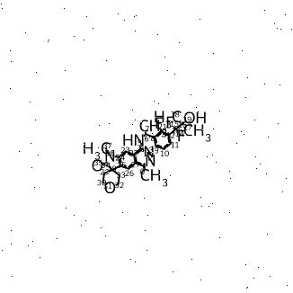 Cc1nnc(NC(C)c2cccc(C(F)(F)C(C)(C)O)c2F)c2cc3c(cc12)C1(CCOCC1)C(=O)N3C